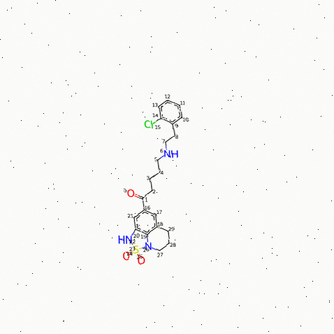 O=C(CCCCNCCc1ccccc1Cl)c1cc2c3c(c1)NS(=O)(=O)N3CCC2